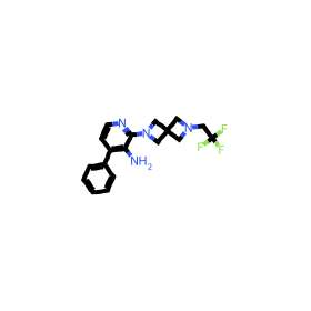 Nc1c(-c2ccccc2)ccnc1N1CC2(CN(CC(F)(F)F)C2)C1